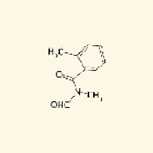 Cc1ccccc1C(=O)N(C)C=O